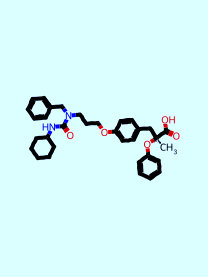 C[C@@](Cc1ccc(OCCCN(Cc2ccccc2)C(=O)NC2CCCCC2)cc1)(Oc1ccccc1)C(=O)O